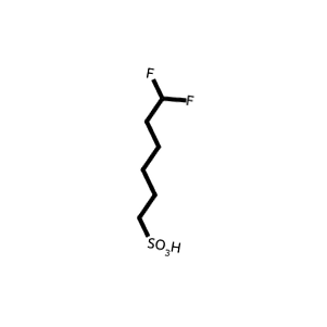 O=S(=O)(O)CCCCCC(F)F